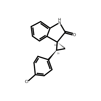 O=C1Nc2ccccc2[C@@]12C[C@H]2c1ccc(Cl)cc1